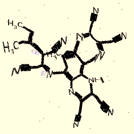 CC/C(C)=C(C#N)/C(C#N)=N\c1c2c(c3nc(C#N)c(C#N)nc3c1C)NC(C#N)C(C#N)=N2